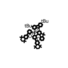 CC(C)(C)c1ccc2c(c1)c1cc(C(C)(C)C)cc3c1n2-c1cc2c(c4c1B3N(c1cccc3c1oc1cc5c(cc13)C(C)(C)CCC5(C)C)c1ccc3c(oc5cc6c(cc53)C(C)(C)CCC6(C)C)c1-4)-c1ccccc1C2(C)C